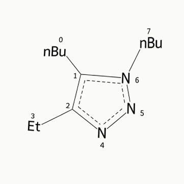 CCCCc1c(CC)nnn1CCCC